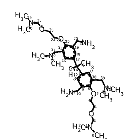 CN(C)COCCOc1c(CN)cc(C(C)(C)c2cc(CN)c(OCCOCN(C)C)c(CN(C)C)c2)cc1CN(C)C